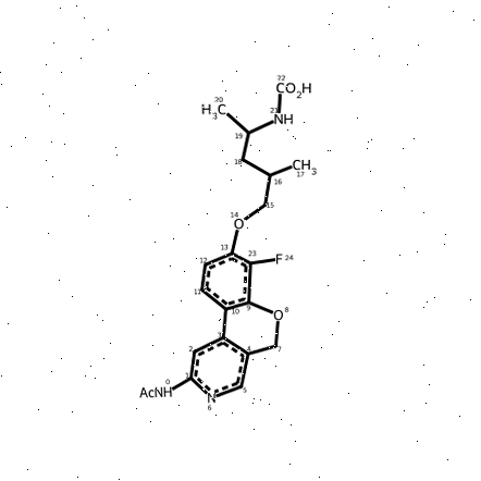 CC(=O)Nc1cc2c(cn1)COc1c-2ccc(OCC(C)CC(C)NC(=O)O)c1F